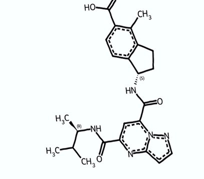 Cc1c(C(=O)O)ccc2c1CC[C@@H]2NC(=O)c1cc(C(=O)N[C@H](C)C(C)C)nc2ccnn12